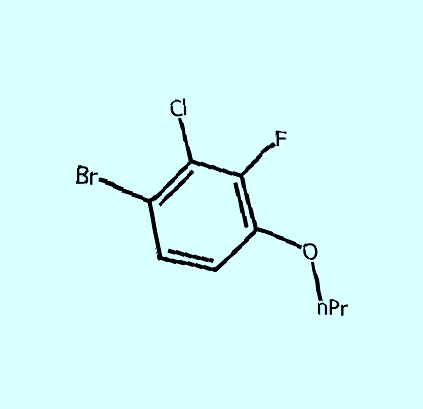 CCCOc1ccc(Br)c(Cl)c1F